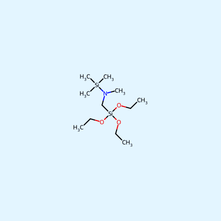 CCO[Si](CN(C)[Si](C)(C)C)(OCC)OCC